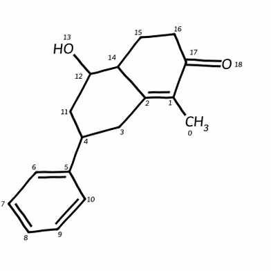 CC1=C2CC(c3ccccc3)CC(O)C2CCC1=O